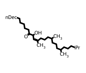 CCCCCCCCCCCCCCCC(=O)C(O)C=C(C)CCCC(C)CCCC(C)CCCC(C)C